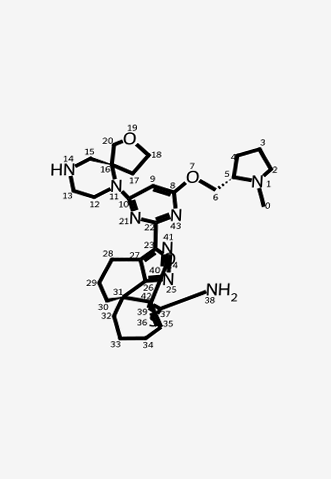 CN1CCC[C@H]1COc1cc(N2CCNC[C@@]23CCOC3)nc(-c2onc3c2CCC[C@@]32CCCc3sc(N)c(C#N)c32)n1